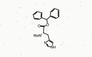 CN[C@@H](Cc1c[nH]cn1)C(=O)OC(c1ccccc1)c1ccccc1